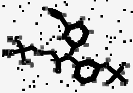 CC(C)(C)CNCC(=O)N(c1cccc(OC(F)(F)F)c1)c1ccnc(C#N)n1